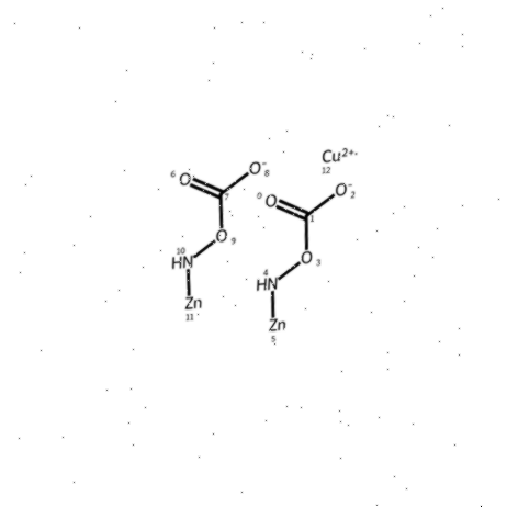 O=C([O-])O[NH][Zn].O=C([O-])O[NH][Zn].[Cu+2]